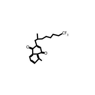 Cc1cccc2c1C(=O)C=C(CC(C)CCCCCC(F)(F)F)C2=O